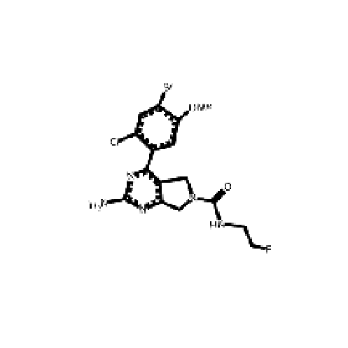 COc1cc(-c2nc(N)nc3c2CN(C(=O)NCCF)C3)c(Cl)cc1Br